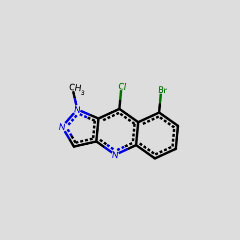 Cn1ncc2nc3cccc(Br)c3c(Cl)c21